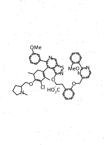 COc1cccc(-c2ncc3snc(O[C@H](Cc4ccccc4OCc4ccnc(-c5ccccc5OC)n4)C(=O)O)c3c2C2=C(C)C(Cl)=C(OCC3CCCN3C)C(C)C2)c1